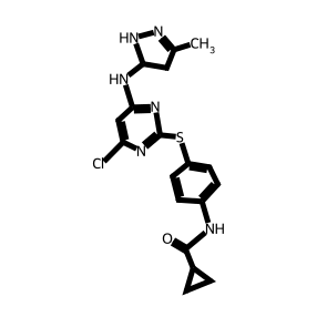 CC1=NNC(Nc2cc(Cl)nc(Sc3ccc(NC(=O)C4CC4)cc3)n2)C1